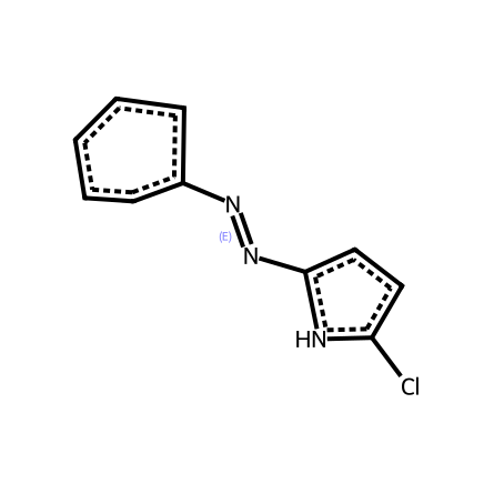 Clc1ccc(/N=N/c2ccccc2)[nH]1